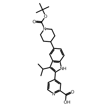 CC(C)c1c(-c2ccnc(C(=O)O)c2)[nH]c2ccc(C3CCN(C(=O)OC(C)(C)C)CC3)cc12